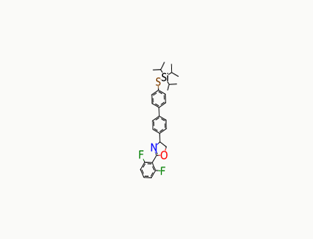 CC(C)[Si](Sc1ccc(-c2ccc(C3COC(c4c(F)cccc4F)=N3)cc2)cc1)(C(C)C)C(C)C